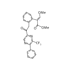 CO/C=C(/C(=O)OC)c1ccccc1CC(=O)c1cnc(-c2ccccc2)c(C(F)(F)F)n1